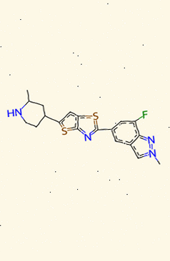 CC1CC(c2cc3sc(-c4cc(F)c5nn(C)cc5c4)nc3s2)CCN1